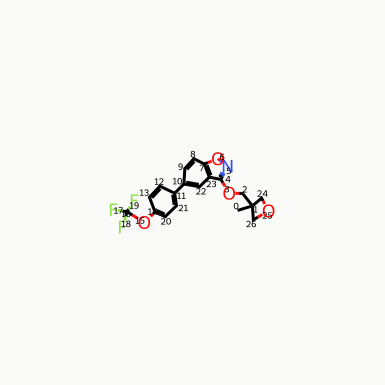 CC1(COc2noc3ccc(-c4ccc(OC(F)(F)F)cc4)cc23)COC1